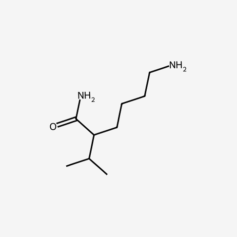 CC(C)C(CCCCN)C(N)=O